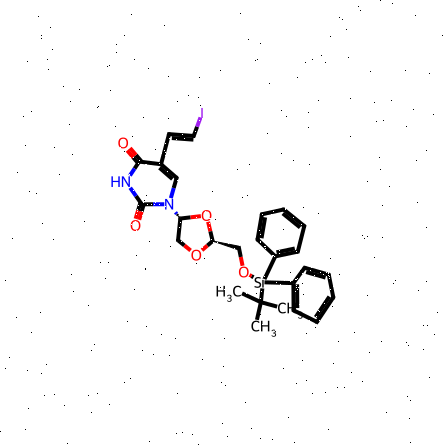 CC(C)(C)[Si](OC[C@H]1OC[C@H](n2cc(C=CI)c(=O)[nH]c2=O)O1)(c1ccccc1)c1ccccc1